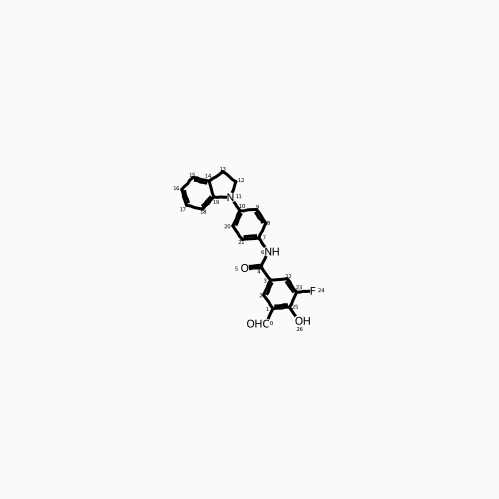 O=Cc1cc(C(=O)Nc2ccc(N3CCc4ccccc43)cc2)cc(F)c1O